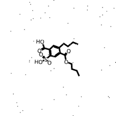 CCCCOC(=O)c1cc(S(=O)(=O)O)c(C(=O)O)cc1CCCC